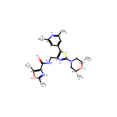 Cc1cc(-c2sc(N3C[C@@H](C)O[C@@H](C)C3)nc2CNC(=O)c2nc(C)oc2C(F)(F)F)cc(C)n1